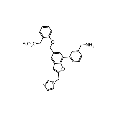 CCOC(=O)Cc1ccccc1OCc1cc(-c2cccc(CN)c2)c2oc(Cn3ccnc3)cc2c1